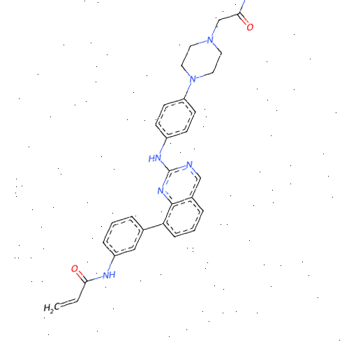 C=CC(=O)Nc1cccc(-c2cccc3cnc(Nc4ccc(N5CCN(CC(N)=O)CC5)cc4)nc23)c1